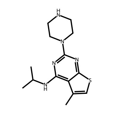 Cc1csc2nc(N3CCNCC3)nc(NC(C)C)c12